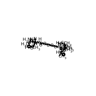 CC[C@@H](NC(=O)[C@@H]1C[C@H](NCCOCCOCCOCCOCCC(=O)NCCn2nc3c(c2C#N)-c2cnc(N)c(n2)O[C@H](C)c2cc(F)ccc2C(=O)N(C)C3)CN1C(=O)C(NC(=O)[C@H](C)NC)C(C)(C)C)c1ccccc1